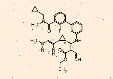 CCOC(=O)/C(C=N)=C(/Nc1cccc(-c2cccc(C(=O)N(C)CC3CC3)c2F)c1)[C@@H]1CC1/C(N)=C/N(C)N